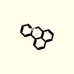 c1cc[n+]2c(c1)-c1cccc3cccc(c13)C2